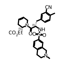 CCOC(=O)[C@@H]1CC=CCN1C(=O)[C@H](Cc1ccc(C)c(C#N)c1)NS(=O)(=O)c1ccc2c(c1)CN(C)CC2